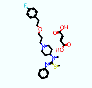 CSC(=Nc1ccccc1)N(C)C1CCN(CCCOCCc2ccc(F)cc2)CC1.O=C(O)/C=C/C(=O)O